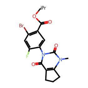 CC(C)OC(=O)c1cc(-n2c(=O)c3c(n(C)c2=O)CCC3)c(F)cc1Br